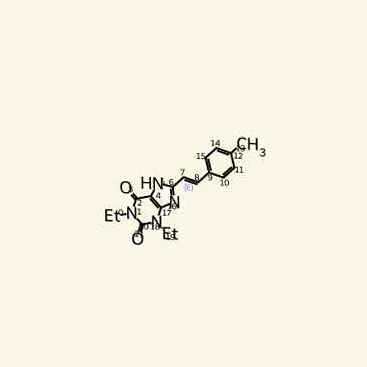 CCn1c(=O)c2[nH]c(/C=C/c3ccc(C)cc3)nc2n(CC)c1=O